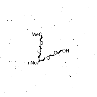 CCCCCCCCCN(CCOCCOCCO)CCOCCOCCOC